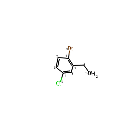 BCc1cc(Cl)ccc1Br